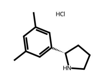 Cc1cc(C)cc([C@@H]2CCCN2)c1.Cl